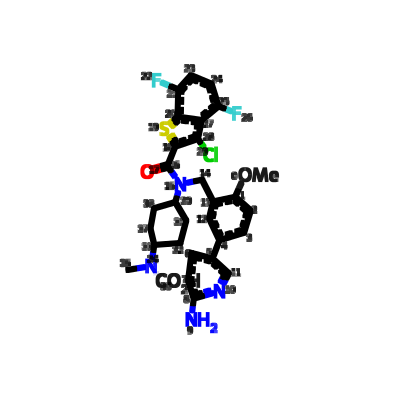 COc1ccc(-c2ccc(N)nc2)cc1CN(C(=O)c1sc2c(F)ccc(F)c2c1Cl)C1CCC(N(C)C(=O)O)CC1